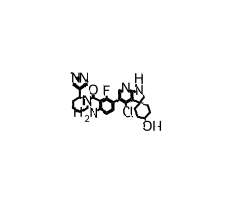 Cn1cc(C2CCCCN2C(=O)c2c(N)ccc(-c3cnc4c(c3Cl)[C@]3(CC[C@H](O)CC3)CN4)c2F)cn1